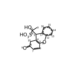 CC(O)(C1C2=C(C=CC(=O)C2)Oc2ccccc21)S(=O)(=O)O